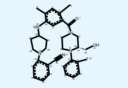 Cc1cc(C)c(C(=O)N2CCN(c3ccccc3F)[C@@H](CO)C2)cc1NC1CCN(c2ccccc2C#N)CC1